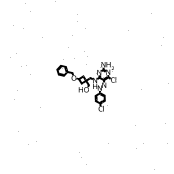 Nc1nc(Cl)c(N=Nc2ccc(Cl)cc2)c(NCC2(CO)CC(OCc3ccccc3)C2)n1